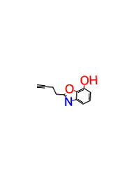 C#CCCc1nc2cccc(O)c2o1